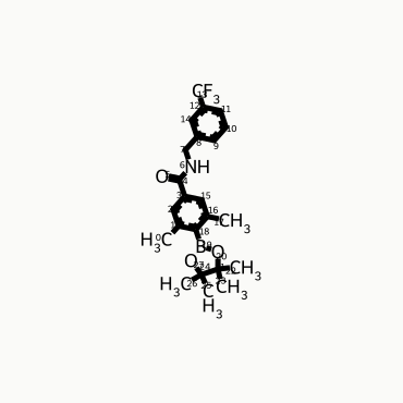 Cc1cc(C(=O)NCc2cccc(C(F)(F)F)c2)cc(C)c1B1OC(C)(C)C(C)(C)O1